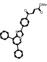 COC(=O)C=CC(=O)c1ccc(-c2cn3cc(-c4ccccc4)cc(-c4ccccc4)c3n2)cc1